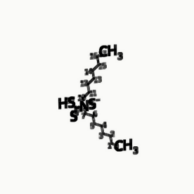 CCCCCCCC[N+]([S-])(CCCCCCCC)C(=S)S